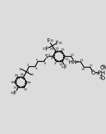 CC(C)(CCCCSc1cc(F)c(CNCCCO[PH](=O)O)cc1C(F)(F)F)c1ccc(F)cc1